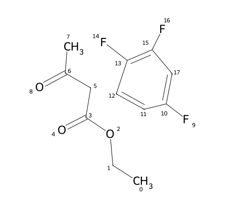 CCOC(=O)CC(C)=O.Fc1ccc(F)c(F)c1